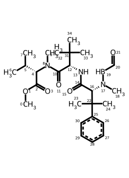 COC(=O)[C@H](C(C)C)N(C)C(=O)[C@@H](NC(=O)[C@H](N(C)BC=O)C(C)(C)c1ccccc1)C(C)(C)C